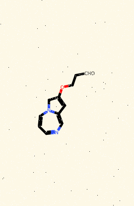 O=CCCOC1=CC2=CN=CC=CN2C1